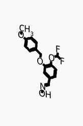 COc1ccc(COc2cc(C=NO)ccc2OC(F)F)cc1